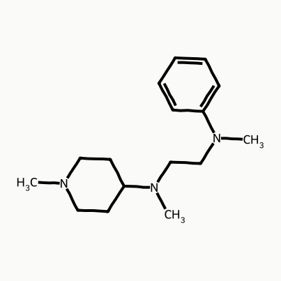 CN1CCC(N(C)CCN(C)c2ccccc2)CC1